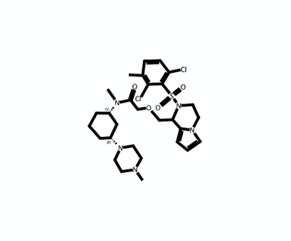 Cc1ccc(Cl)c(S(=O)(=O)N2CCn3cccc3C2COCC(=O)N(C)[C@H]2CCC[C@@H](N3CCN(C)CC3)C2)c1Cl